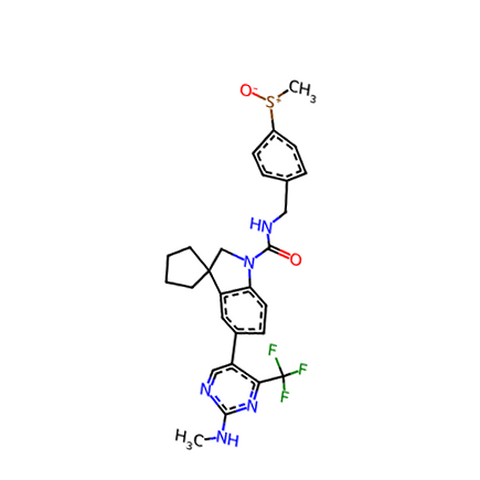 CNc1ncc(-c2ccc3c(c2)C2(CCCC2)CN3C(=O)NCc2ccc([S+](C)[O-])cc2)c(C(F)(F)F)n1